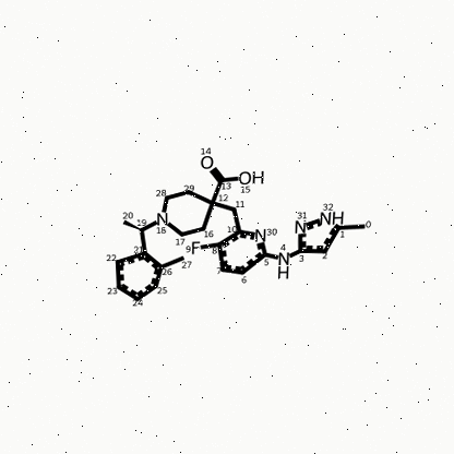 Cc1cc(Nc2ccc(F)c(CC3(C(=O)O)CCN([C@H](C)c4ccccc4C)CC3)n2)n[nH]1